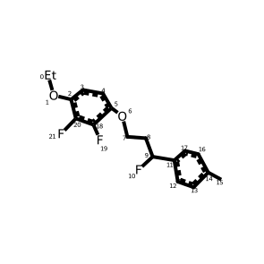 CCOc1ccc(OCCC(F)c2ccc(C)cc2)c(F)c1F